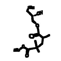 CC(CC(C)(C)C(=O)OC(C)(C)C)C(=O)OC[C@@H](O)CC(C)(C)C